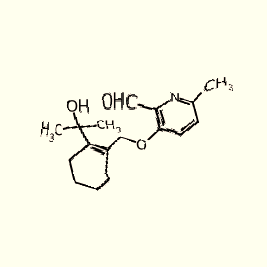 Cc1ccc(OCC2=C(C(C)(C)O)CCCC2)c(C=O)n1